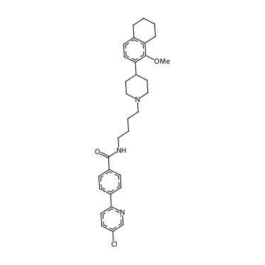 COc1c(C2CCN(CCCCNC(=O)c3ccc(-c4ccc(Cl)cn4)cc3)CC2)ccc2c1CCCC2